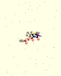 CC(C)(C)C(=O)OCOC(=O)[C@@H]1N2C(=O)C(I)(I)[C@H]2SC1(C)C